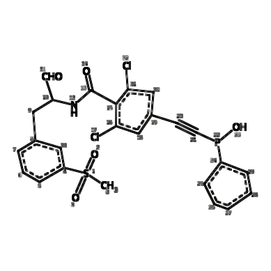 CS(=O)(=O)c1cccc(CC(C=O)NC(=O)c2c(Cl)cc(C#CP(O)c3ccccc3)cc2Cl)c1